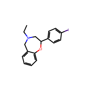 CCN1Cc2ccccc2OC(c2ccc(I)cc2)C1